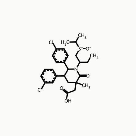 CCC(C[S+]([O-])C(C)C)N1C(=O)C(C)(CC(=O)O)CC(c2cccc(Cl)c2)C1c1ccc(Cl)cc1